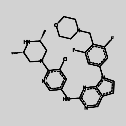 C[C@@H]1CN(c2ncc(Nc3ncc4ccn(-c5cc(F)c(CN6CCOCC6)c(F)c5)c4n3)cc2Cl)C[C@H](C)N1